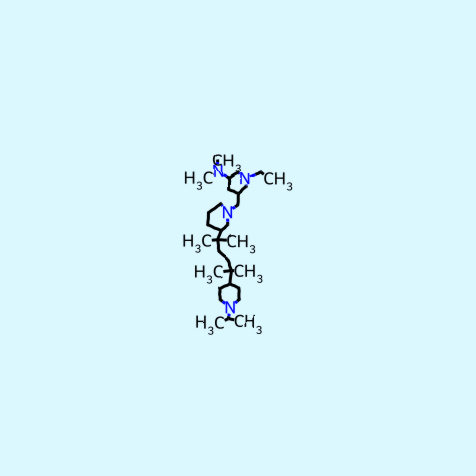 CCN1CC(CN2CCCC(C(C)(C)CCC(C)(C)C3CCN(C(C)C)CC3)C2)CC(N(C)C)C1